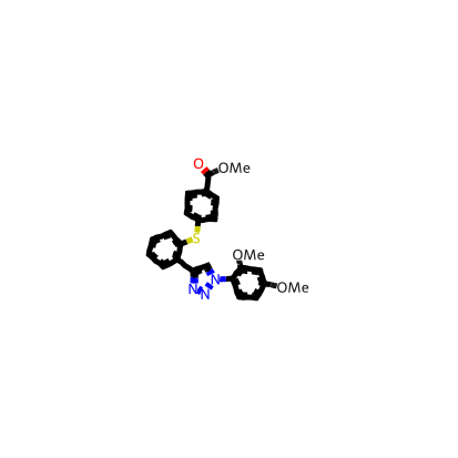 COC(=O)c1ccc(Sc2ccccc2-c2cn(-c3ccc(OC)cc3OC)nn2)cc1